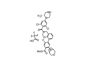 COC(=O)c1cc(F)c(-c2cccc3c2OCN(C(=O)c2c(Cl)cc(N4CCNC[C@H]4C)cc2Cl)C3)cc1N1C2CCC1COC2.O=C(O)C(F)(F)F